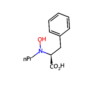 CCCN(O)[C@@H](Cc1ccccc1)C(=O)O